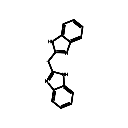 [CH](c1nc2ccccc2[nH]1)c1nc2ccccc2[nH]1